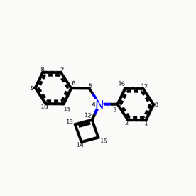 [c]1ccc(N(Cc2ccccc2)C2=CCC2)cc1